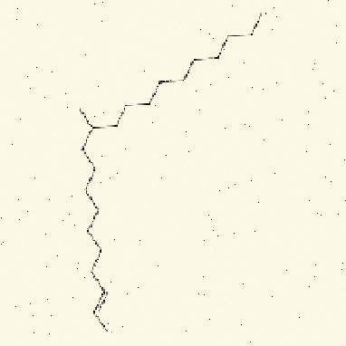 [CH2]/C=C/CCCCCCCC(C)CCCCCCCCC[CH2]